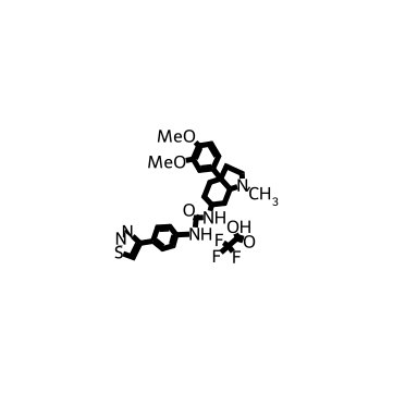 COc1ccc(C23CCC(NC(=O)Nc4ccc(-c5csnn5)cc4)CC2N(C)CC3)cc1OC.O=C(O)C(F)(F)F